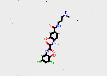 CN(C)CCCNC(=O)c1ccc(NC(=O)C(=O)Nc2cc(Cl)cc(Cl)c2O)c(O)c1